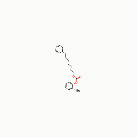 CCCCc1ccccc1OC(=O)OCCCCCCCc1ccccc1